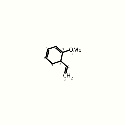 C=CC1CC=CC=C1OC